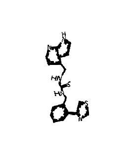 S=C(NCc1ccccc1-c1cscn1)NCc1ccnc2[nH]ccc12